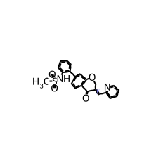 CS(=O)(=O)Nc1ccccc1-c1ccc2c(c1)OC/C(=C\c1ccccn1)C2=O